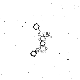 CCCCCCCO[C@@H]1C[C@@]2(C[C@H]1OCc1ccccc1)OC(OCc1ccccc1)C(C)(C=O)O2